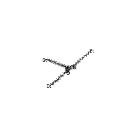 CC/C=C/CC/C=C/CCCCCCCCCCC(=O)OCC(COC(=O)CCCCCCCCC/C=C/CC/C=C/CC)OC(=O)CCCCCCCCC/C=C/CC/C=C/CC